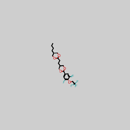 CCCCC1COC(CCC2COC(c3cc(F)c(OCC(F)(F)F)c(F)c3)OC2)OC1